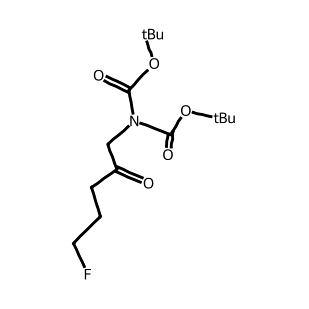 CC(C)(C)OC(=O)N(CC(=O)CCCF)C(=O)OC(C)(C)C